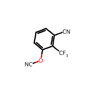 N#COc1cccc(C#N)c1C(F)(F)F